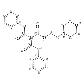 O=C(Cc1ccccc1)N(C(=O)Cc1ccccc1)C(=O)OCCN1CCOCC1